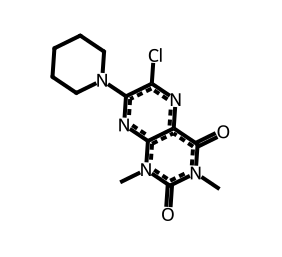 Cn1c(=O)c2nc(Cl)c(N3CCCCC3)nc2n(C)c1=O